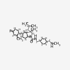 CNCc1ccc(CNC(=O)N2CC(C)(CC(C)C)c3cc(-c4ccc(F)cc4C)ccc32)cc1